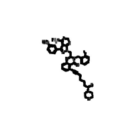 Nc1ncnc2c1c(-c1cccc(O)c1)nn2Cc1nc2cccc(C#CCCCCC(=O)N3CCOCC3)c2c(=O)n1Cc1ccccc1Cl